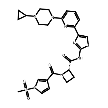 CS(=O)(=O)n1ccc(C(=O)N2CC[C@H]2C(=O)Nc2nc(-c3cccc(N4CCN(C5CC5)CC4)n3)cs2)c1